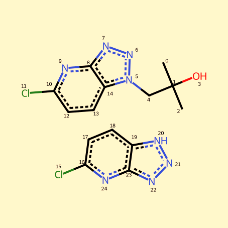 CC(C)(O)Cn1nnc2nc(Cl)ccc21.Clc1ccc2[nH]nnc2n1